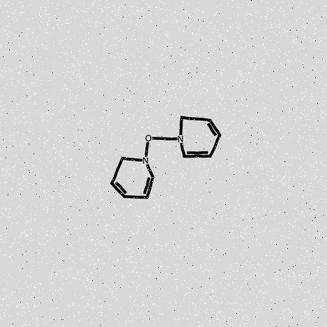 C1=CCN(ON2C=CC=CC2)C=C1